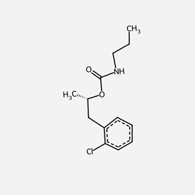 CCCNC(=O)O[C@@H](C)Cc1ccccc1Cl